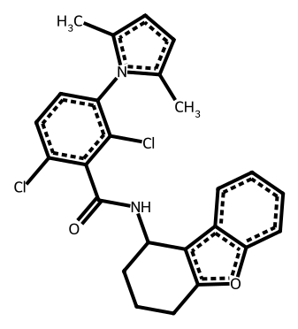 Cc1ccc(C)n1-c1ccc(Cl)c(C(=O)NC2CCCc3oc4ccccc4c32)c1Cl